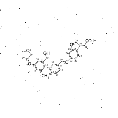 Cc1cc(OC2CCOC2)cc(CO)c1-c1cccc(COc2ccc3c(c2)OCC3CC(=O)O)c1